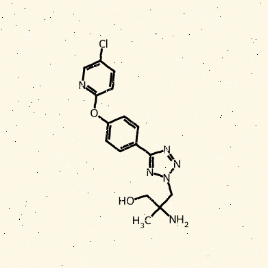 CC(N)(CO)Cn1nnc(-c2ccc(Oc3ccc(Cl)cn3)cc2)n1